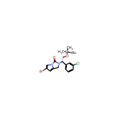 CC(C)(C)[Si](C)(C)OC[C@H](c1cccc(Cl)c1)N1Cc2cc(Br)cn2C1=O